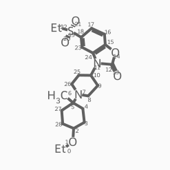 CCOC1CCC(C)(N2CCC(n3c(=O)oc4ccc(S(=O)(=O)CC)cc43)CC2)CC1